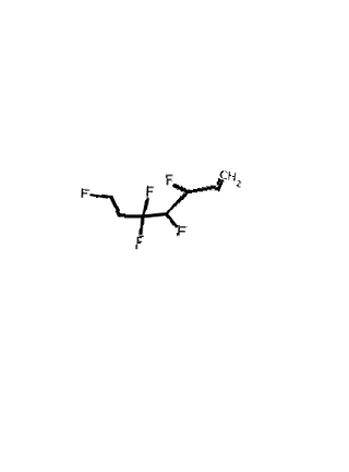 C=CC(F)C(F)C(F)(F)CCF